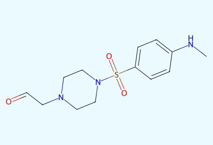 CNc1ccc(S(=O)(=O)N2CCN(CC=O)CC2)cc1